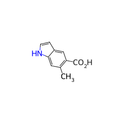 Cc1cc2[nH]ccc2cc1C(=O)O